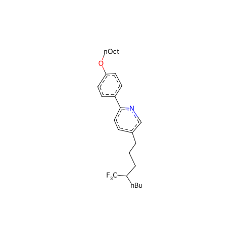 CCCCCCCCOc1ccc(-c2ccc(CCCC(CCCC)C(F)(F)F)cn2)cc1